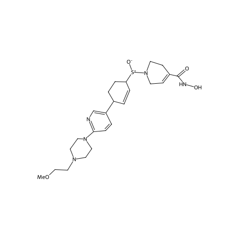 COCCN1CCN(c2ccc(C3C=CC([S+]([O-])N4CC=C(C(=O)NO)CC4)CC3)cn2)CC1